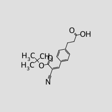 CC(C)(C)OC(=O)C(C#N)=Cc1ccc(CCC(=O)O)cc1